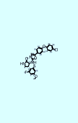 COc1cc(F)c([C@@H]2CNC(=O)[C@H]2Nc2nnc(-c3ccc(Oc4ccc(Cl)cc4)cc3)o2)c(F)c1